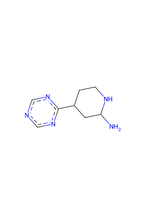 NC1CC(c2ncncn2)CCN1